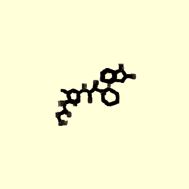 Cc1cc(NC(=O)C(=O)N2CCCC[C@H]2c2cccc3c2CC(=O)N3)cnc1NC(=O)OC(C)(C)C